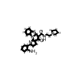 Nc1ccccc1-c1ccc2c(=O)c(C(=O)NCCN3CCCC3)c3sc4ccccc4n3c2n1